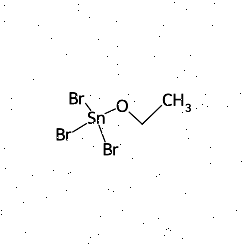 CC[O][Sn]([Br])([Br])[Br]